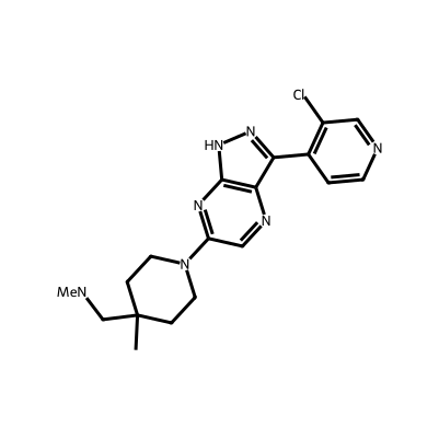 CNCC1(C)CCN(c2cnc3c(-c4ccncc4Cl)n[nH]c3n2)CC1